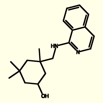 CC1(C)CC(O)CC(C)(CNc2nccc3ccccc23)C1